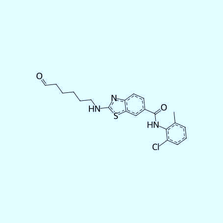 Cc1cccc(Cl)c1NC(=O)c1ccc2nc(NCCCCCC=O)sc2c1